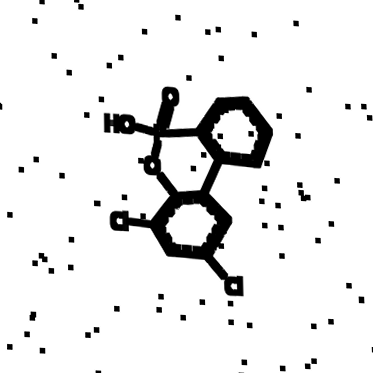 O=P1(O)Oc2c(Cl)cc(Cl)cc2-c2ccccc21